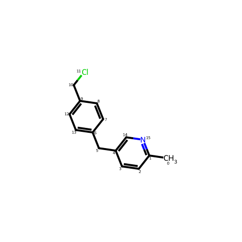 Cc1ccc(Cc2ccc(CCl)cc2)cn1